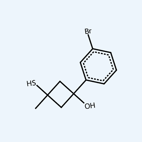 CC1(S)CC(O)(c2cccc(Br)c2)C1